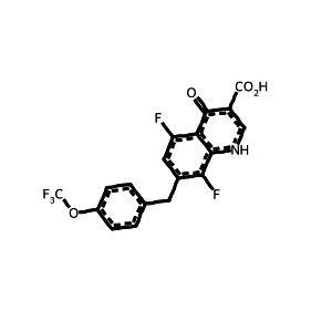 O=C(O)c1c[nH]c2c(F)c(Cc3ccc(OC(F)(F)F)cc3)cc(F)c2c1=O